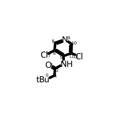 CC(C)(C)CC(=O)Nc1c(Cl)cncc1Cl